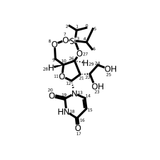 CC(C)[Si]1(C(C)C)OOC[C@H]2O[C@@H](n3ccc(=O)[nH]c3=O)[C@@H](C(O)CO)[C@@H]2O1